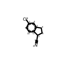 N#CC1CCc2cc(Cl)ccc21